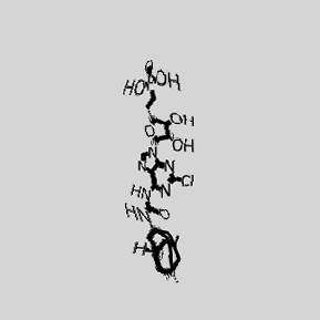 C[C@]12C[C@@H]3C[C@](C)(C1)C[C@@](NC(=O)Nc1nc(Cl)nc4c1ncn4[C@@H]1O[C@H](CCP(=O)(O)O)C(O)[C@@H]1O)(C3)C2